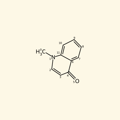 Cn1ccc(=O)c2ccccc21